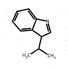 CC(C)C1C=Nc2ccccc21